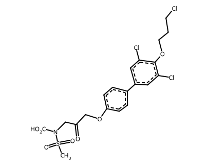 CS(=O)(=O)N(CC(=O)COc1ccc(-c2cc(Cl)c(OCCCCl)c(Cl)c2)cc1)C(=O)O